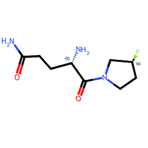 NC(=O)CC[C@H](N)C(=O)N1CC[C@H](F)C1